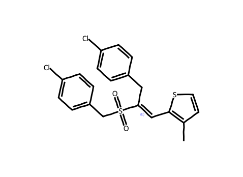 Cc1ccsc1/C=C(\Cc1ccc(Cl)cc1)S(=O)(=O)Cc1ccc(Cl)cc1